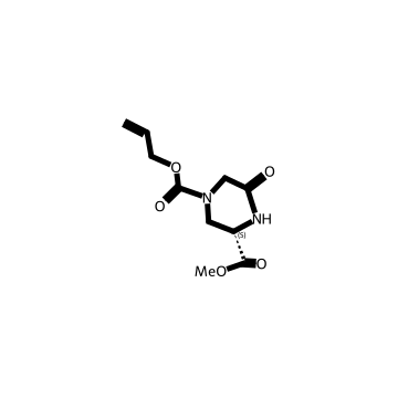 C=CCOC(=O)N1CC(=O)N[C@H](C(=O)OC)C1